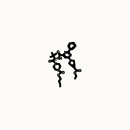 CCCCOC(=O)N1CCN(C(=O)[C@@H](NC(=O)c2cc(N3CC4C(C3)C4C(=O)OCC)nc(-c3ccccc3)n2)C(C)(C)C)CC1